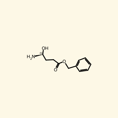 N[C@@H](O)CCC(=O)OCc1ccccc1